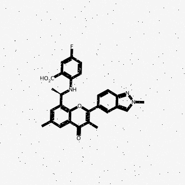 Cc1cc([C@@H](C)Nc2ccc(F)cc2C(=O)O)c2oc(-c3ccc4nn(C)cc4c3)c(C)c(=O)c2c1